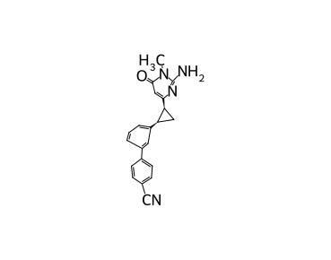 Cn1c(N)nc([C@H]2C[C@H]2c2cccc(-c3ccc(C#N)cc3)c2)cc1=O